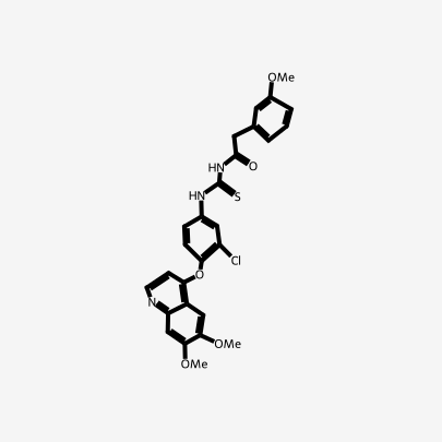 COc1cccc(CC(=O)NC(=S)Nc2ccc(Oc3ccnc4cc(OC)c(OC)cc34)c(Cl)c2)c1